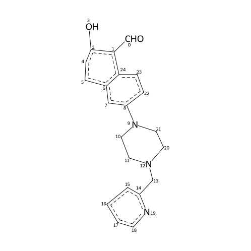 O=Cc1c(O)ccc2cc(N3CCN(Cc4ccccn4)CC3)ccc12